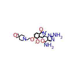 COc1c(OCCN2CCC3(CC2)COC3)ccc2c(=O)n(C)c(-c3nc(N)ncc3C(N)=O)cc12